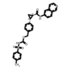 Cc1ccc(S(=O)(=O)NC(=O)OCc2ccc([C@@H]3C[C@H]3C(=O)Nc3ccc4cnccc4c3)cc2)cc1